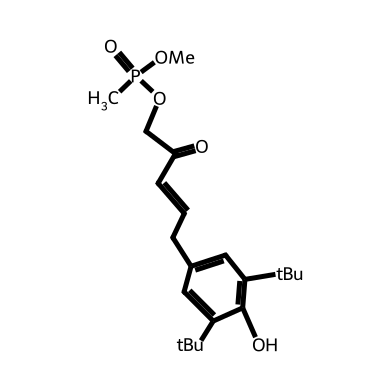 COP(C)(=O)OCC(=O)C=CCc1cc(C(C)(C)C)c(O)c(C(C)(C)C)c1